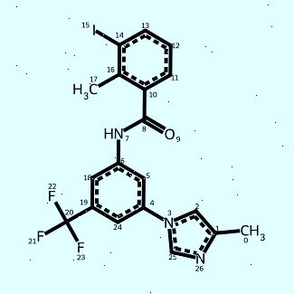 Cc1cn(-c2cc(NC(=O)c3cccc(I)c3C)cc(C(F)(F)F)c2)cn1